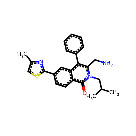 Cc1csc(-c2ccc3c(=O)n(CC(C)C)c(CN)c(-c4ccccc4)c3c2)n1